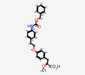 CCO[C@@H](Cc1ccc(OCCc2ccc(NC(=O)OCc3ccccc3)cc2)cc1)C(=O)O